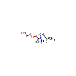 CCC[N+](C)(C)C(C)COCCO